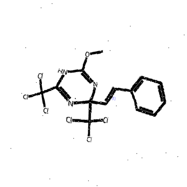 COC1=NC(/C=C/c2ccccc2)(C(Cl)(Cl)Cl)N=C(C(Cl)(Cl)Cl)N1